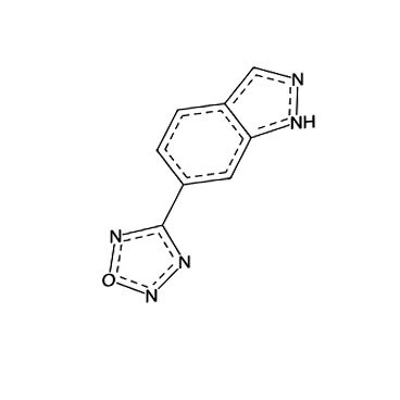 c1cc2cn[nH]c2cc1-c1nnon1